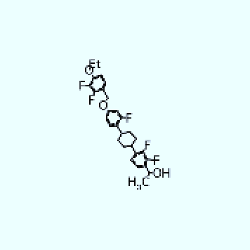 CCOc1ccc(COc2ccc(C3CCC(c4ccc(C(C)O)c(F)c4F)CC3)c(F)c2)c(F)c1F